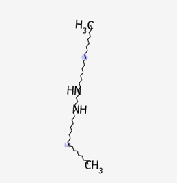 CCCCCCCC/C=C\CCCCCCCCNCCCCNCCCCCCCC/C=C/CCCCCCCC